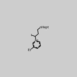 CCCCCCCCCC(I)[n+]1cccc(CC)c1